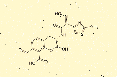 Nc1nc(/C(=N/O)C(=O)N[C@H]2Cc3ccc(C=O)c(C(=O)O)c3OB2O)cs1